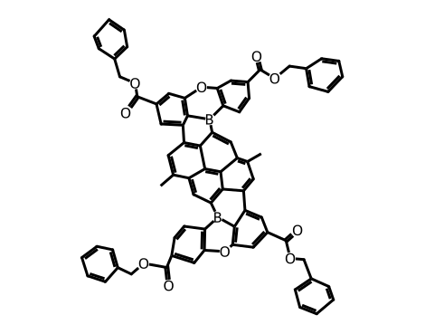 Cc1cc2c3c(cc4c(C)cc5c6c(cc1c3c46)B1c3ccc(C(=O)OCc4ccccc4)cc3Oc3cc(C(=O)OCc4ccccc4)cc-5c31)B1c3ccc(C(=O)OCc4ccccc4)cc3Oc3cc(C(=O)OCc4ccccc4)cc-2c31